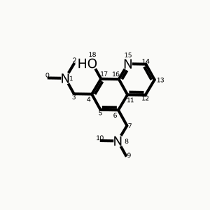 CN(C)Cc1cc(CN(C)C)c2cccnc2c1O